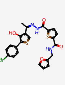 C/C(=N/NC(=O)c1ccc(C(=O)NCc2ccco2)s1)c1csc(-c2ccc(Br)cc2)c1O